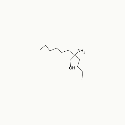 CCCCCCC(N)(CO)CCCC